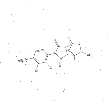 CC12CC(O)C(C)(O1)C1C(=O)N(c3ccc(C#N)c(Cl)c3Cl)C(=O)C12